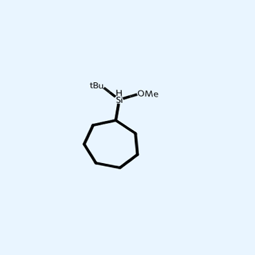 CO[SiH](C1CCCCCC1)C(C)(C)C